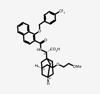 COCCOC12C[C@H]3C[C@@H](C1)CC([C@H](NC(=O)c1ccc4ccccc4c1OCc1ccc(C(F)(F)F)cc1)C(=O)O)(C3)C2